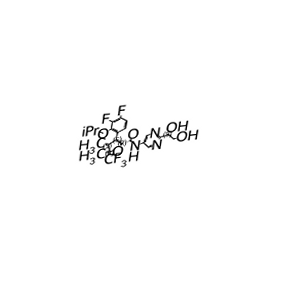 CC(C)Oc1c([C@H]2[C@H](C(=O)Nc3cnc([C@H](O)CO)nc3)O[C@@](C)(C(F)(F)F)[C@H]2C)ccc(F)c1F